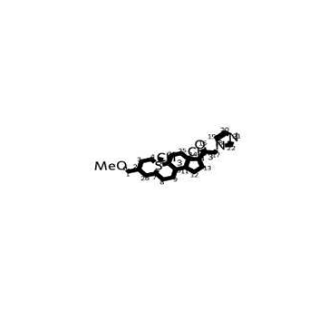 COCC1CCS2(C)C(CCC3C4CCC(C(=O)Cn5ccnc5)C4(C)CCC32)C1